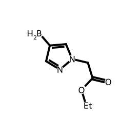 Bc1cnn(CC(=O)OCC)c1